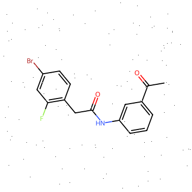 CC(=O)c1cccc(NC(=O)Cc2ccc(Br)cc2F)c1